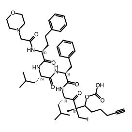 C#CCCCC(OC(=O)O)[C@](C)(CI)C(=O)[C@H](CC(C)C)NC(=O)[C@H](Cc1ccccc1)NC(=O)[C@H](CC(C)C)NC(=O)[C@H](CCc1ccccc1)NC(=O)CN1CCOCC1